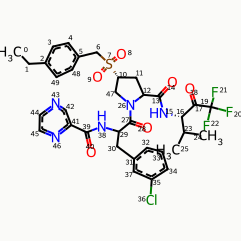 CCc1ccc(CS(=O)(=O)[C@@H]2CC(C(=O)N[C@H](C(=O)C(F)(F)F)C(C)C)N(C(=O)C(Cc3cccc(Cl)c3)NC(=O)c3cnccn3)C2)cc1